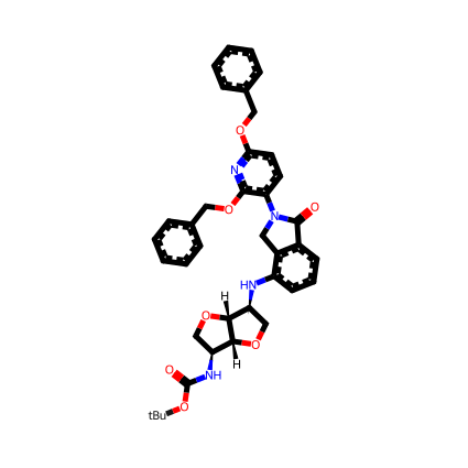 CC(C)(C)OC(=O)N[C@H]1CO[C@H]2[C@@H]1OC[C@@H]2Nc1cccc2c1CN(c1ccc(OCc3ccccc3)nc1OCc1ccccc1)C2=O